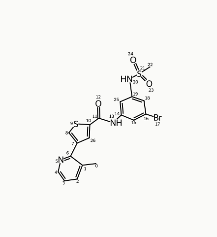 Cc1cccnc1-c1csc(C(=O)Nc2cc(Br)cc(NS(C)(=O)=O)c2)c1